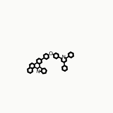 c1ccc(-c2cc(-c3ccccc3)nc(-c3ccc(Oc4ccc(-c5ccc6c(c5)C5C(=Nc7ccccc75)c5c-6ccc6ccccc56)cc4)cc3)c2)cc1